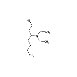 CCCCC(CCS)N(CC)CC